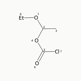 CCOC(C)OC(=O)Cl